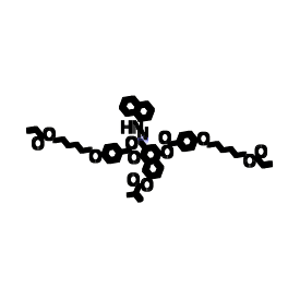 C=CC(=O)OCCCCCCOc1ccc(C(=O)Oc2cc(/C=N/Nc3cccc4ccccc34)c(OC(=O)c3ccc(OCCCCCCOC(=O)C=C)cc3)c3cc(OC(=O)C(=C)C)ccc23)cc1